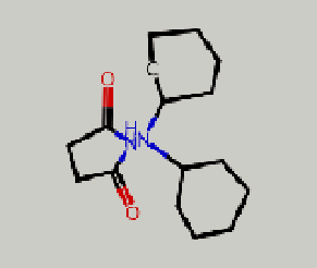 C1CCC(NC2CCCCC2)CC1.O=C1CCC(=O)N1